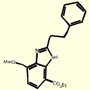 CCOC(=O)c1ccc(OC)c2nc(CCc3ccccc3)[nH]c12